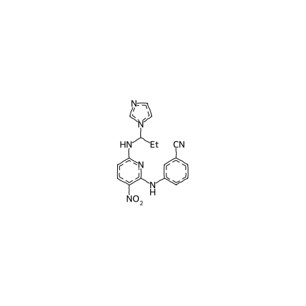 CCC(Nc1ccc([N+](=O)[O-])c(Nc2cccc(C#N)c2)n1)n1ccnc1